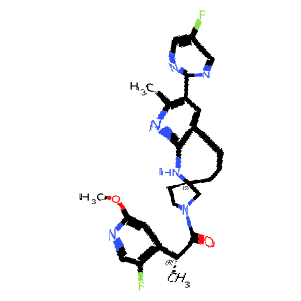 COc1cc([C@@H](C)C(=O)N2CC[C@@]3(CCc4cc(-c5ncc(F)cn5)c(C)nc4N3)C2)c(F)cn1